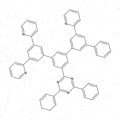 C1=CC(c2nc(-c3ccccc3)nc(-c3cc(-c4cc(-c5ccccc5)cc(-c5ccccn5)c4)cc(-c4cc(-c5ccccn5)cc(-c5ccccn5)c4)c3)n2)=CCC1